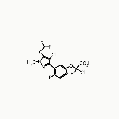 CCC(Cl)(Oc1ccc(F)c(-c2nn(C)c(OC(F)F)c2Cl)c1)C(=O)O